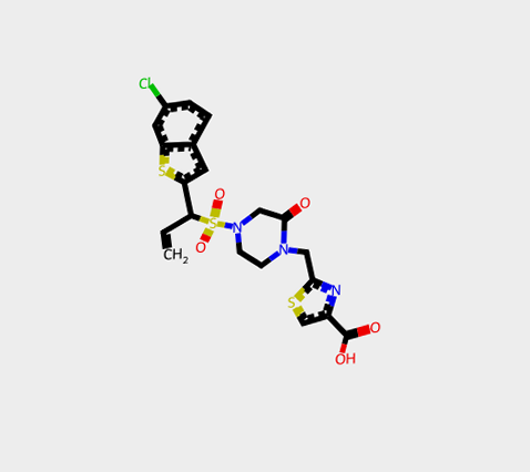 C=CC(c1cc2ccc(Cl)cc2s1)S(=O)(=O)N1CCN(Cc2nc(C(=O)O)cs2)C(=O)C1